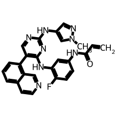 C=CC(=O)Nc1ccc(F)c(Nc2nc(Nc3cnn(C)c3)ncc2-c2cccc3ccncc23)c1